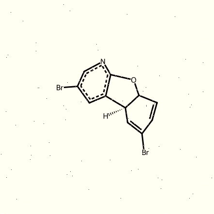 BrC1=C[C@H]2c3cc(Br)cnc3OC2C=C1